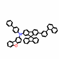 c1ccc(-c2ccc(N(c3ccc4c(c3)C3(c5ccccc5-c5ccccc53)c3cc(-c5cccc(-c6cccc7ccccc67)c5)ccc3-4)c3ccc4oc5ccccc5c4c3)cc2)cc1